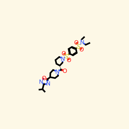 CCN(CC)S(=O)(=O)c1ccc(S(=O)(=O)N2CCC[C@@H](C(=O)N3CCC(c4nc(C(C)C)no4)CC3)C2)cc1